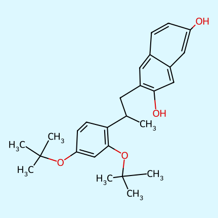 CC(Cc1cc2ccc(O)cc2cc1O)c1ccc(OC(C)(C)C)cc1OC(C)(C)C